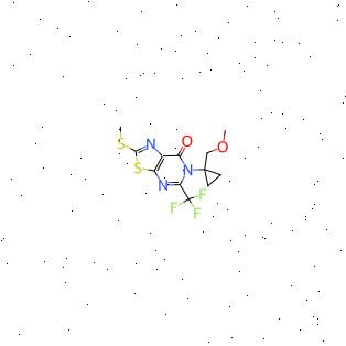 COCC1(n2c(C(F)(F)F)nc3sc(SC)nc3c2=O)CC1